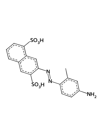 Cc1cc(N)ccc1N=Nc1cc2c(S(=O)(=O)O)cccc2cc1S(=O)(=O)O